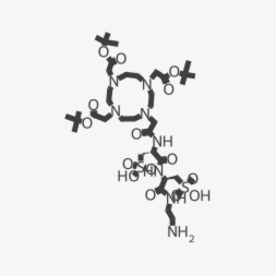 CC(C)(C)OC(=O)CN1CCN(CC(=O)N[C@@H](CS(=O)(=O)O)C(=O)N[C@@H](CS(=O)(=O)O)C(=O)NCCN)CCN(CC(=O)OC(C)(C)C)CCN(CC(=O)OC(C)(C)C)CC1